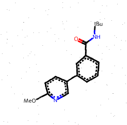 COc1ccc(-c2cccc(C(=O)NC(C)(C)C)c2)cn1